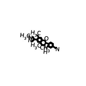 CCc1cc2c(cc1-c1cnn(C)c1)C(C)(C)C1Nc3cc(C#N)ccc3C1C2=O